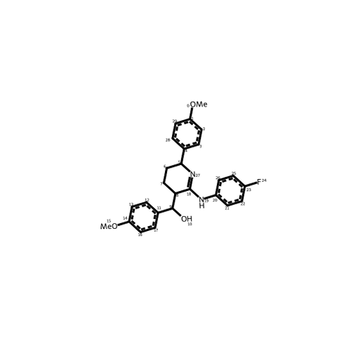 COc1ccc(C2CCC(C(O)c3ccc(OC)cc3)C(Nc3ccc(F)cc3)=N2)cc1